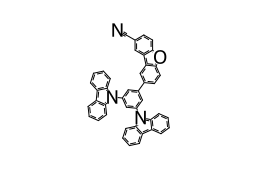 N#Cc1ccc2oc3ccc(-c4cc(-n5c6ccccc6c6ccccc65)cc(-n5c6ccccc6c6ccccc65)c4)cc3c2c1